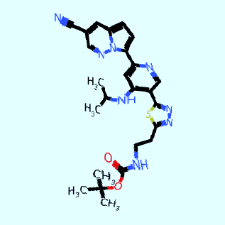 CC(C)Nc1cc(-c2ccc3cc(C#N)cnn23)ncc1-c1nnc(CCNC(=O)OC(C)(C)C)s1